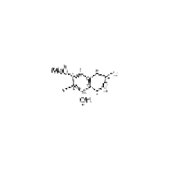 COc1cc2c(c(O)c1C)COC(C)C2